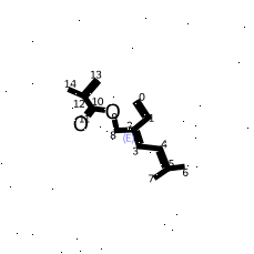 C=C/C(=C\C=C(C)C)COC(=O)C(=C)C